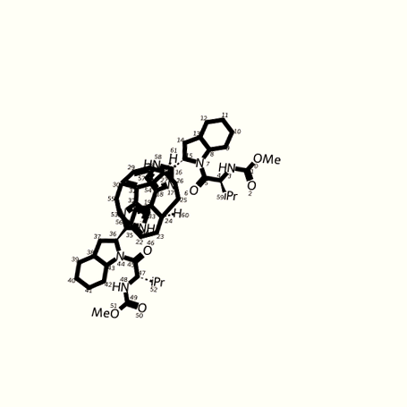 COC(=O)N[C@H](C(=O)N1C2CCCCC2C[C@H]1c1nc(C2=CC3=CC[C@@H]2CC[C@@H]2C=CC(=C(c4c[nH]c([C@@H]5CC6CCCCC6N5C(=O)[C@@H](NC(=O)OC)C(C)C)n4)C2)CC3)c[nH]1)C(C)C